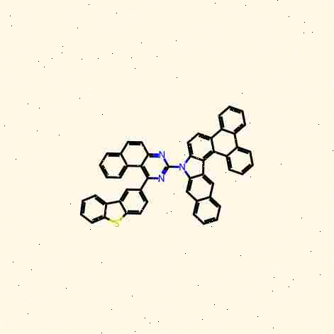 c1ccc2cc3c(cc2c1)c1c2c4ccccc4c4ccccc4c2ccc1n3-c1nc(-c2ccc3sc4ccccc4c3c2)c2c(ccc3ccccc32)n1